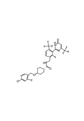 O=c1cc(C(F)(F)F)nc(-c2c(C(F)(F)F)ccc(CNC(=O)[C@H]3CC[C@H](OCc4ccc(Cl)cc4F)CC3)c2F)[nH]1